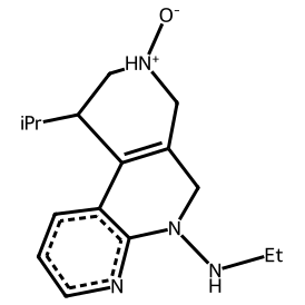 CCNN1CC2=C(c3cccnc31)C(C(C)C)C[NH+]([O-])C2